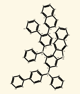 c1ccc(-c2ccc(N(c3ccccc3)c3cc(N(c4ccccc4)c4ccc(-c5ccc6ccccc6c5)c(-c5ccccc5)c4)c4c(c3)oc3cc5ccccc5cc34)cc2)cc1